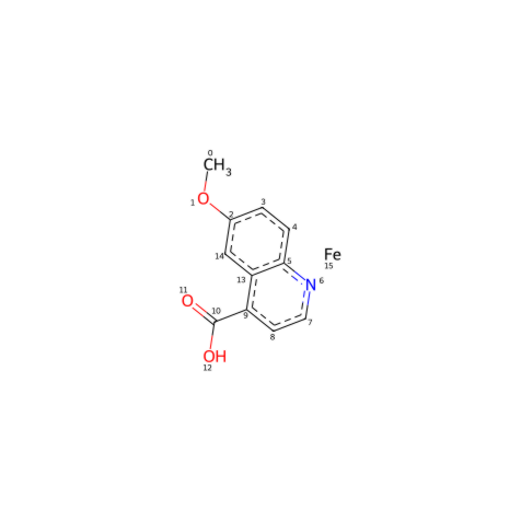 COc1ccc2nccc(C(=O)O)c2c1.[Fe]